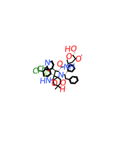 CO[C@H]1C[C@@H](NC(=O)[C@H]2[C@H](c3ccnc(Cl)c3F)[C@]3(C(=O)Nc4cc(Cl)ccc43)C3(CCC(C)(C)CC3)N2[C@H](c2ccccc2)[C@@H](O)c2ccccc2)CO[C@@H]1CO